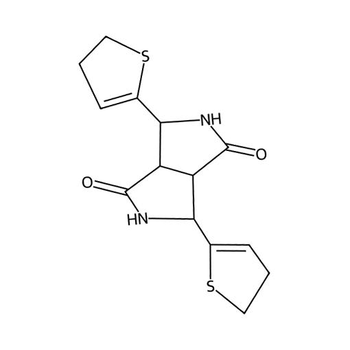 O=C1NC(C2=CCCS2)C2C(=O)NC(C3=CCCS3)C12